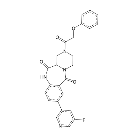 O=C1Nc2ccc(-c3cncc(F)c3)cc2C(=O)N2CCN(C(=O)COc3ccccc3)CC12